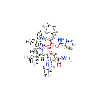 CC(C)(C)[C@H](NC(=O)[C@@H](NC(=O)c1cnccn1)C1C=CC=CC1)C(=O)N1C[C@H]2[C@@H]([C@H]1C(=O)NC(CC1CCC1)C(=O)C(N)=O)C2(C)C